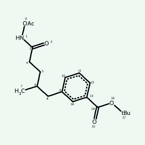 CC(=O)ONC(=O)CCC(C)Cc1cccc(C(=O)OC(C)(C)C)c1